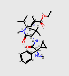 CCOC(=O)/C(C)=C/[C@H](C(C)C)N(C)C(=O)[C@@H](NC(=O)[C@@](NC)(c1ccccc1)C1CC1)C(C)(C)C